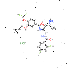 C[C@H](N)c1oc(-c2ccc(OC(F)F)c(OCC3CC3)c2)nc1CNC(=O)c1ccc(F)cc1F.Cl